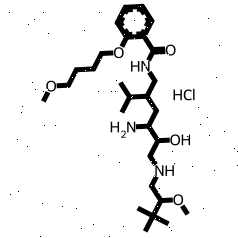 COCCCCOc1ccccc1C(=O)NCC(CC(N)C(O)CNCC(OC)C(C)(C)C)C(C)C.Cl